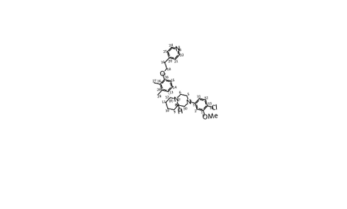 COc1cc(N2CCN3[C@@H](CCC[C@@H]3c3ccc(OCCc4ccncc4)c(C)c3C)C2)ccc1Cl